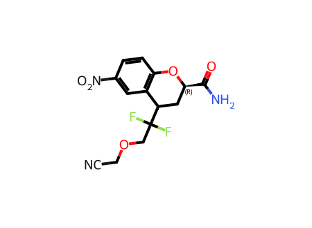 N#CCOCC(F)(F)[C]1C[C@H](C(N)=O)Oc2ccc([N+](=O)[O-])cc21